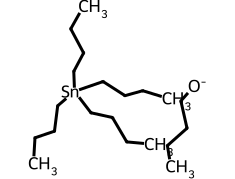 CCCC[O-].CCC[CH2][Sn]([CH2]CCC)([CH2]CCC)[CH2]CCC